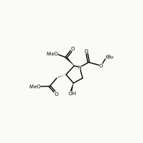 COC(=O)C[C@H]1[C@H](O)CN(C(=O)OC(C)(C)C)[C@@H]1C(=O)OC